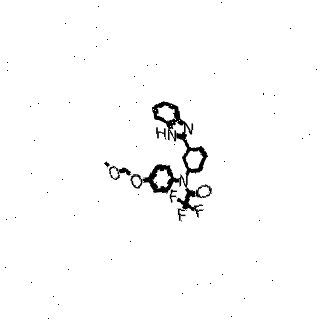 COCOc1ccc(N(C(=O)C(F)(F)F)C2CCCC(c3nc4ccccc4[nH]3)C2)cc1